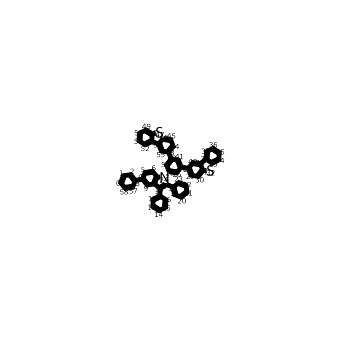 c1ccc(-c2ccc3c(c2)c(-c2ccccc2)c(-c2ccccc2)n3-c2cc(-c3ccc4sc5ccccc5c4c3)cc(-c3ccc4sc5ccccc5c4c3)c2)cc1